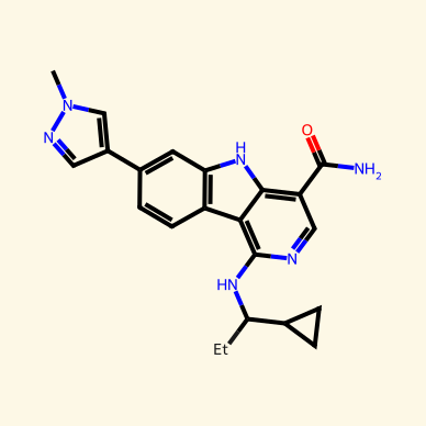 CCC(Nc1ncc(C(N)=O)c2[nH]c3cc(-c4cnn(C)c4)ccc3c12)C1CC1